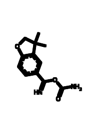 CC1(C)COc2ccc(C(=N)OC(N)=O)cc21